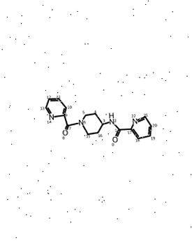 O=C(NC1CCN(C(=O)c2ccccn2)CC1)c1ccccn1